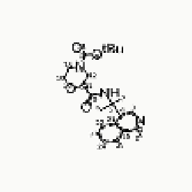 Cc1ncc(C(C)(C)NC(=O)[C@@H]2CN(C(=O)OC(C)(C)C)CCO2)c2ccccc12